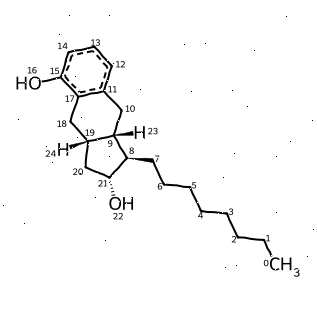 CCCCCCCC[C@@H]1[C@H]2Cc3cccc(O)c3C[C@H]2C[C@H]1O